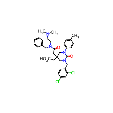 Cc1ccc(N2CC(CC(=O)O)(CC(=O)N(CCN(C)C)Cc3ccccc3)CN(Cc3ccc(Cl)cc3Cl)C2=O)cc1